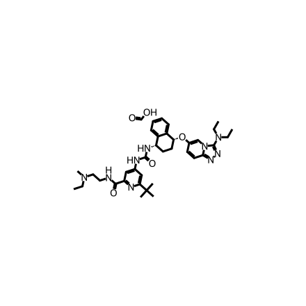 CCN(C)CCNC(=O)c1cc(NC(=O)N[C@H]2CC[C@@H](Oc3ccc4nnc(N(CC)CC)n4c3)c3ccccc32)cc(C(C)(C)C)n1.O=CO